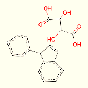 C1=CC(c2ccccc2)c2ccccc21.O=C(O)C(O)C(O)C(=O)O